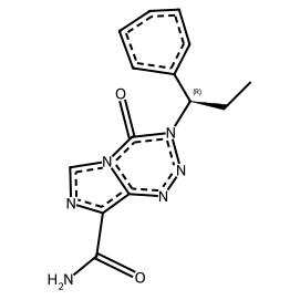 CC[C@H](c1ccccc1)n1nnc2c(C(N)=O)ncn2c1=O